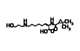 CC1(C)CC1C(=O)NC(=CCCCCCNCCCO)C(=O)O